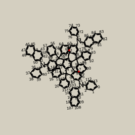 c1ccc(N(c2ccc3c(c2)C(c2ccccc2)(c2ccccc2)c2c-3c3c(c4c2-c2ccc(N(c5ccccc5)c5ccc6ccccc6c5)cc2C4(c2ccccc2)c2ccccc2)-c2ccc(N(c4ccccc4)c4ccc5ccccc5c4)cc2C3(c2ccccc2)c2ccccc2)c2ccc3ccccc3c2)cc1